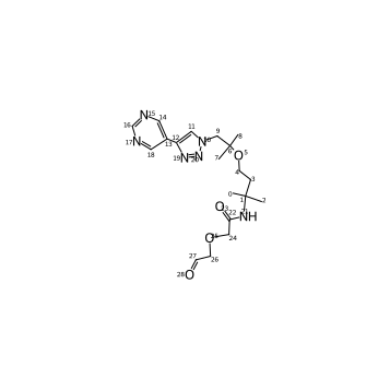 CC(C)(CCOC(C)(C)Cn1cc(-c2cncnc2)nn1)NC(=O)COCC=O